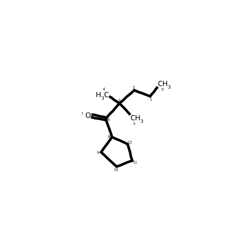 CCCC(C)(C)C(=O)C1CCCC1